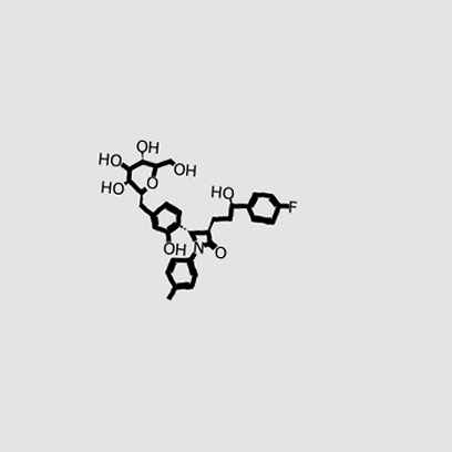 Cc1ccc(N2C(=O)[C@H](CC[C@H](O)c3ccc(F)cc3)[C@H]2c2ccc(C[C@@H]3OC(CO)[C@@H](O)C(O)[C@@H]3O)cc2O)cc1